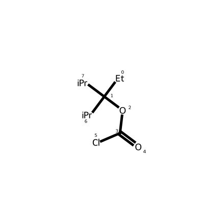 CCC(OC(=O)Cl)(C(C)C)C(C)C